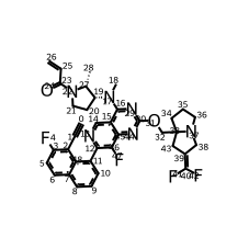 C#Cc1c(F)ccc2cccc(-c3ncc4c(N(C)[C@@H]5CCN(C(=O)C=C)[C@@H]5C)nc(OCC56CCCN5CC(=C(F)F)C6)nc4c3F)c12